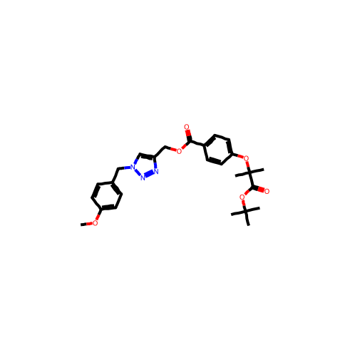 COc1ccc(Cn2cc(COC(=O)c3ccc(OC(C)(C)C(=O)OC(C)(C)C)cc3)nn2)cc1